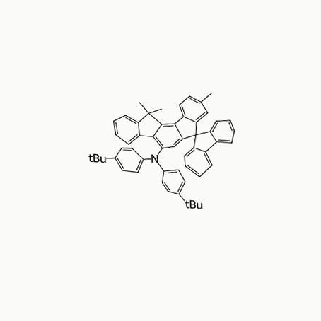 Cc1ccc2c(c1)C1(c3ccccc3-c3ccccc31)c1cc(N(c3ccc(C(C)(C)C)cc3)c3ccc(C(C)(C)C)cc3)c3c(c1-2)C(C)(C)c1ccccc1-3